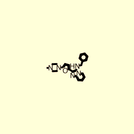 CN1CCN(c2ccc(-c3nc4ccccn4c3NCc3ccccc3)o2)CC1